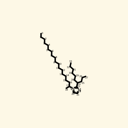 CCCCCCCCCCCCCCCCCC(C)n1ccnc1C(CCC)CCCCCC